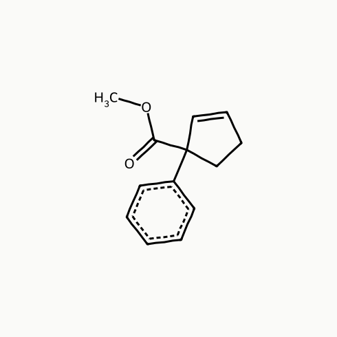 COC(=O)C1(c2ccccc2)C=CCC1